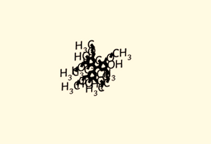 CCOCc1cc(C(c2cc(COCC)c(O)c(COCC)c2C)c2cc(COCC)c(O)c(COCC)c2C)c(C)c(COCC)c1O